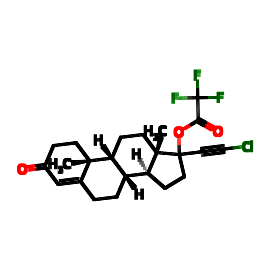 C[C@]12CCC(=O)C=C1CC[C@@H]1[C@H]2CC[C@@]2(C)[C@H]1CCC2(C#CCl)OC(=O)C(F)(F)F